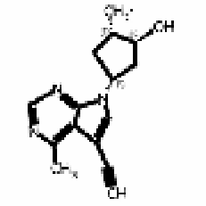 C#Cc1cn([C@@H]2C[C@H]([CH2])[C@@H](O)C2)c2ncnc(C)c12